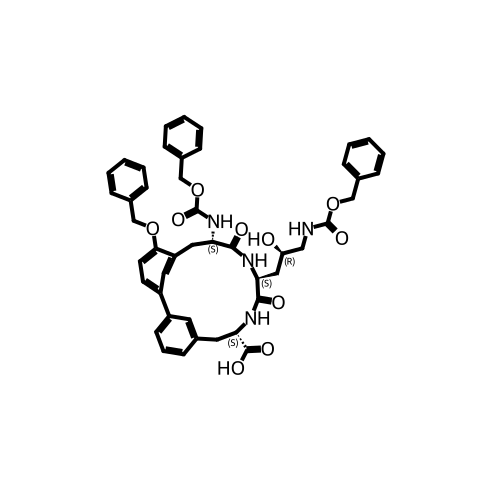 O=C(NC[C@H](O)C[C@@H]1NC(=O)[C@@H](NC(=O)OCc2ccccc2)Cc2cc(ccc2OCc2ccccc2)-c2cccc(c2)C[C@@H](C(=O)O)NC1=O)OCc1ccccc1